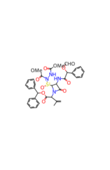 C=C(C)C(C(=O)OC(c1ccccc1)c1ccccc1)N1C(=O)C(NC(=O)C(OC=O)c2ccccc2)C1[S+]([O-])N(NC(=O)OC)C(=O)OC